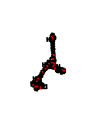 Cc1ncsc1-c1ccc(CNC(=O)[C@@H]2C[C@@H](OC(=O)CCCCCCCCCCCCCNC(=O)OC(C)(C)C)CN2C(=O)[C@@H](NC(=O)COCCOCCOCCNC(=O)C[C@@H]2N=C(c3ccc(Cl)cc3)c3c(sc(C)c3C)-n3c(C)nnc32)C(C)(C)C)cc1